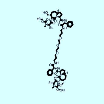 CC[C@@H](C(=O)NC1C(=O)N2[C@@H](CC[C@@H]1CO)CC[C@H]2C(=O)N[C@H](C(=O)NCCCOCCOCCOCCCNC(=O)[C@@H](NC(=O)[C@@H]1CC[C@@H]2CC[C@H](CO)[C@H](NC(=O)[C@H](CC)N(C)C(=O)OC(C)(C)C)C(=O)N21)c1ccccc1)c1ccccc1)N(C)C(=O)OC(C)(C)C